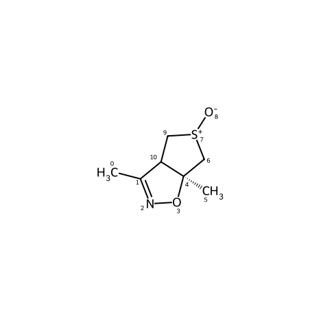 CC1=NO[C@]2(C)C[S+]([O-])CC12